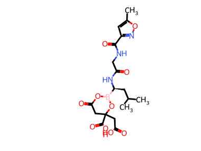 Cc1cc(C(=O)NCC(=O)N[C@@H](CC(C)C)B2OC(=O)CC(CC(=O)O)(C(=O)O)O2)no1